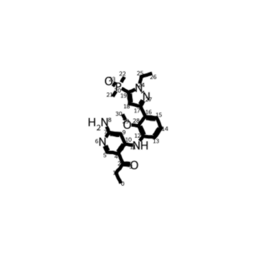 CCC(=O)c1cnc(N)cc1Nc1cccc(-c2cc(P(C)(C)=O)n(CC)n2)c1OC